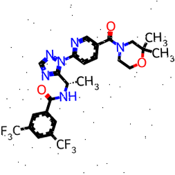 C[C@H](NC(=O)c1cc(C(F)(F)F)cc(C(F)(F)F)c1)c1ncnn1-c1ccc(C(=O)N2CCOC(C)(C)C2)cn1